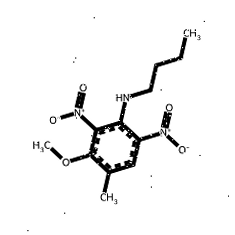 CCCCNc1c([N+](=O)[O-])cc(C)c(OC)c1[N+](=O)[O-]